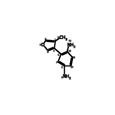 Cc1cocc1-c1cc(N)ccc1N